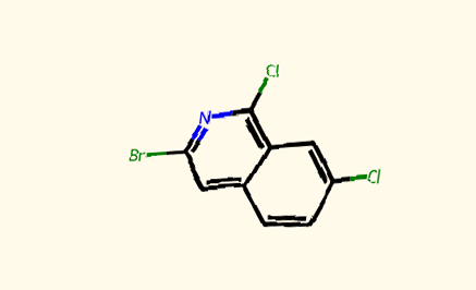 Clc1ccc2cc(Br)nc(Cl)c2c1